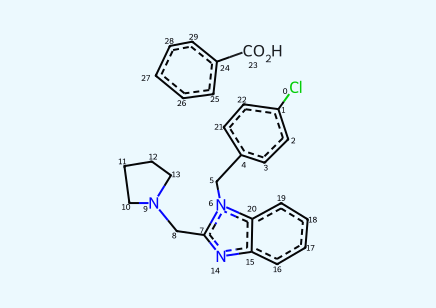 Clc1ccc(Cn2c(CN3CCCC3)nc3ccccc32)cc1.O=C(O)c1ccccc1